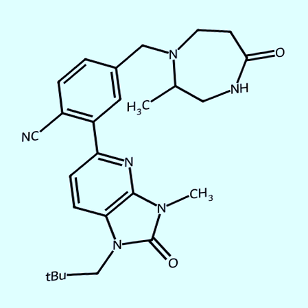 CC1CNC(=O)CCN1Cc1ccc(C#N)c(-c2ccc3c(n2)n(C)c(=O)n3CC(C)(C)C)c1